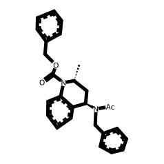 CC(=O)N(Cc1ccccc1)[C@@H]1C[C@@H](C)N(C(=O)OCc2ccccc2)c2ccccc21